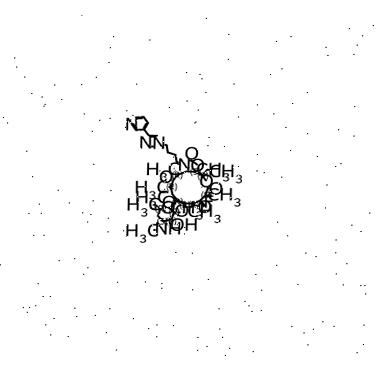 CC[C@H]1OC(=O)[C@@](C)(F)C(=O)[C@H](C)[C@@H](O[C@@H]2O[C@H](C)C[C@H](NC)[C@H]2O)[C@](C)(OC)C[C@@H](C)C(=O)[C@H](C)C2N(CCCCn3cnc(-c4cccnc4)c3)C(=O)O[C@@]21C